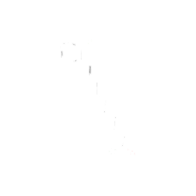 O=C(Cl)CCCCCCC/C=C/c1ccccc1F